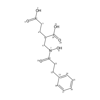 O=C(O)CCC(CN(O)C(=O)CCc1ccccc1)C(=O)O